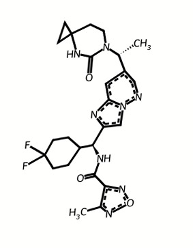 Cc1nonc1C(=O)N[C@H](c1cn2ncc([C@@H](C)N3CCC4(CC4)NC3=O)cc2n1)C1CCC(F)(F)CC1